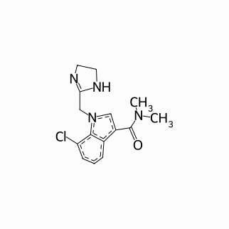 CN(C)C(=O)c1cn(CC2=NCCN2)c2c(Cl)cccc12